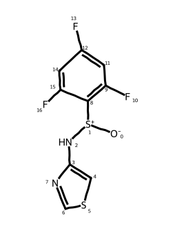 [O-][S+](Nc1cscn1)c1c(F)cc(F)cc1F